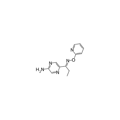 CC/C(=N\Oc1ccccn1)c1cnc(N)cn1